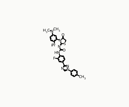 Cc1ccc(-n2cnc(-c3ccc(NC(=O)/N=C4\SCC(=O)N4c4cc(N(C)C)ccc4C(C)C)c(F)c3)n2)cc1